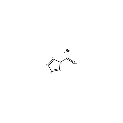 O=C(Br)C1C=CC=C1